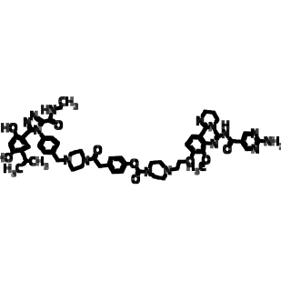 CCNC(=O)c1nnc(-c2cc(C(C)C)c(O)cc2O)n1-c1ccc(CN2CCN(C(=O)Cc3ccc(OC(=O)N4CCN(CCOc5ccc6c(c5OC)N=C(NC(=O)c5cnc(N)nc5)N5CCCN=C65)CC4)cc3)CC2)cc1